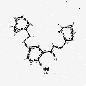 O=C(/C=C/c1ccccn1)c1cc(CCc2ccccc2)ccc1O